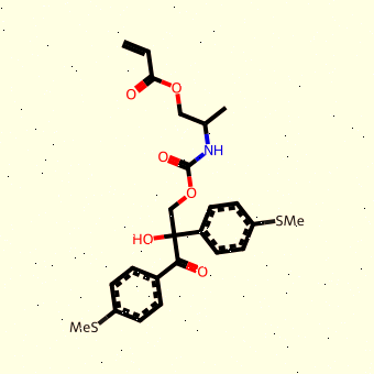 C=CC(=O)OCC(C)NC(=O)OCC(O)(C(=O)c1ccc(SC)cc1)c1ccc(SC)cc1